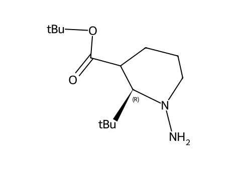 CC(C)(C)OC(=O)C1CCCN(N)[C@H]1C(C)(C)C